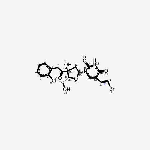 O=C(Cc1ccccc1Cl)[C@]1(O)C[C@H](n2cc(/C=C/Br)c(=O)[nH]c2=O)O[C@@H]1CO